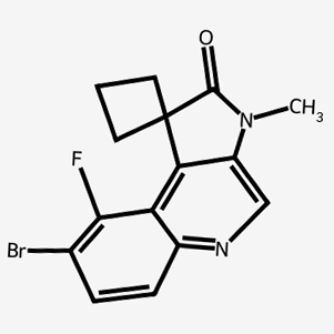 CN1C(=O)C2(CCC2)c2c1cnc1ccc(Br)c(F)c21